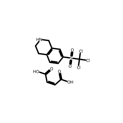 O=C(O)/C=C\C(=O)O.O=S(=O)(c1ccc2c(c1)CNCC2)C(Cl)(Cl)Cl